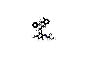 CCNC(=O)/C=C/c1c(C)nc(N)nc1NC(CC)c1nc2cccc(C)c2c(=O)n1-c1ccccc1